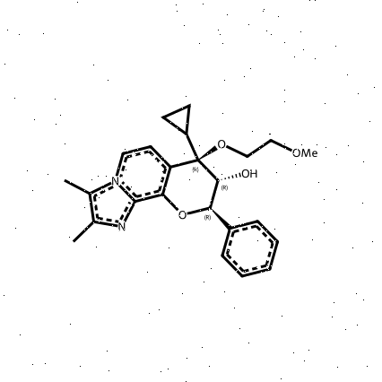 COCCO[C@]1(C2CC2)c2ccn3c(C)c(C)nc3c2O[C@H](c2ccccc2)[C@H]1O